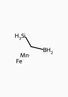 BC[SiH3].[Fe].[Mn]